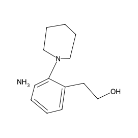 N.OCCc1ccccc1N1CCCCC1